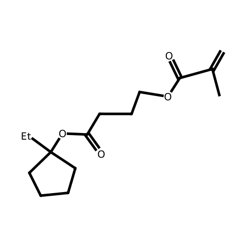 C=C(C)C(=O)OCCCC(=O)OC1(CC)CCCC1